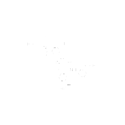 CCCN(CCC)C(=O)c1cc(C)cc(C(=O)N[C@H](Cc2ccc(C(=O)O)cc2)[C@H](O)CNCc2cccc(OC)c2)c1